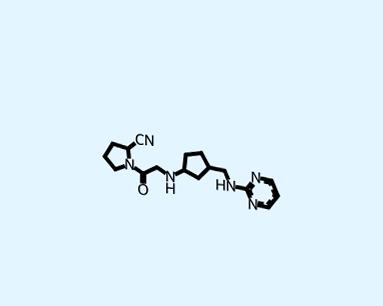 N#CC1CCCN1C(=O)CNC1CCC(CNc2ncccn2)C1